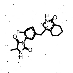 CC1NC(=O)N(c2cc(Cc3n[nH]c(=O)c4c3CCCC4)ccc2F)C1=O